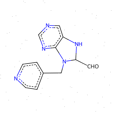 O=CC1Nc2cncnc2N1Cc1ccncc1